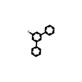 Fc1cc(-c2ccccc2)cc(-c2ccccc2)c1